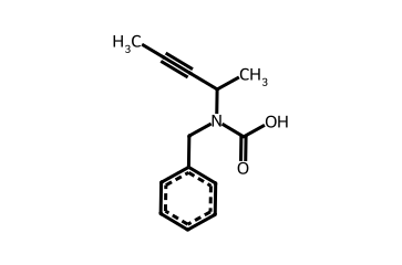 CC#CC(C)N(Cc1ccccc1)C(=O)O